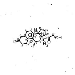 C[C@]12CC(F)[C@H]3[C@@H](CCC4=CC(=O)CC[C@@]43C)[C@@H]1CC[C@@H]2C(=O)CO